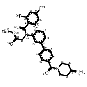 C=C1CCN(C(=O)c2ccc(-c3cccc(N(CC(=O)OC(C)(C)C)C(=O)c4c(F)cc(F)cc4F)c3)cc2)CC1